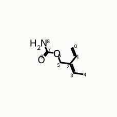 C=C/C(=C\C)COC(N)=O